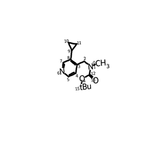 CN(Cc1ccncc1C1CC1)C(=O)OC(C)(C)C